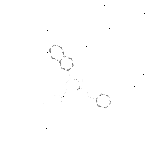 CN(C)CCC(NC(=O)CCc1ccccc1)c1ccc2ccccc2c1.Cl